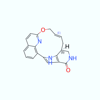 O=C1NC[C@@H]2C/C=C/COc3ccc4cccc(c4n3)-c3cc1c2[nH]3